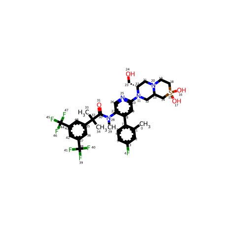 Cc1cc(F)ccc1-c1cc(N2CC3CS(O)(O)CCN3C[C@H]2CO)ncc1N(C)C(=O)C(C)(C)c1cc(C(F)(F)F)cc(C(F)(F)F)c1